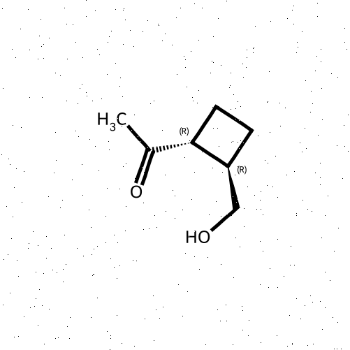 CC(=O)[C@@H]1CC[C@H]1CO